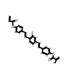 C=CC(=O)Oc1ccc(/C=C/c2ccc(/C=C/c3ccc(OC(=O)C(=C)C)cc3)cc2F)cc1